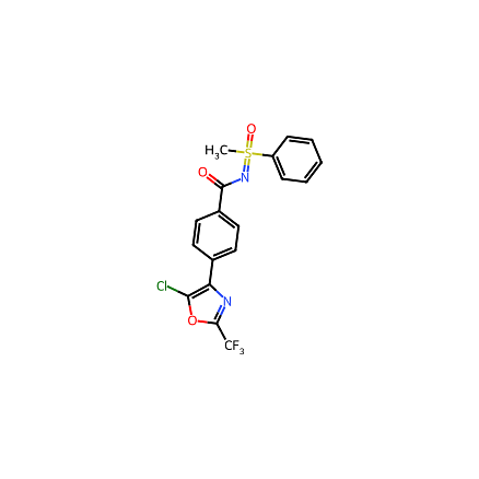 CS(=O)(=NC(=O)c1ccc(-c2nc(C(F)(F)F)oc2Cl)cc1)c1ccccc1